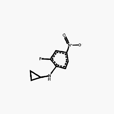 O=[N+]([O-])c1ccc(NC2CC2)c(F)c1